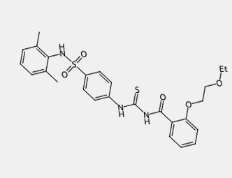 CCOCCOc1ccccc1C(=O)NC(=S)Nc1ccc(S(=O)(=O)Nc2c(C)cccc2C)cc1